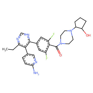 CCc1ncnc(-c2cc(F)c(C(=O)N3CCN(C4CCCC4O)CC3)c(F)c2)c1-c1ccc(N)nc1